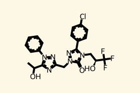 CC(O)c1nc(Cn2nc(-c3ccc(Cl)cc3)n(C[C@H](O)C(F)(F)F)c2=O)nn1-c1ccccc1